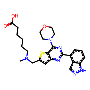 CN(CCCCCC(=O)O)Cc1cc2nc(-c3cccc4[nH]ncc34)nc(N3CCOCC3)c2s1